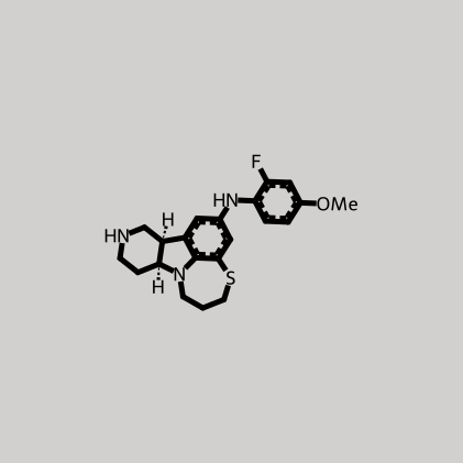 COc1ccc(Nc2cc3c4c(c2)[C@@H]2CNCC[C@@H]2N4CCCS3)c(F)c1